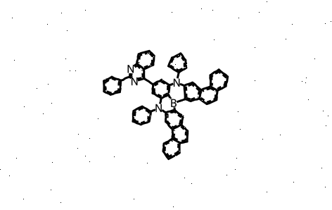 c1ccc(-c2nc(-c3cc4c5c(c3)N(c3ccccc3)c3cc6c(ccc7ccccc76)cc3B5c3cc5ccc6ccccc6c5cc3N4c3ccccc3)c3ccccc3n2)cc1